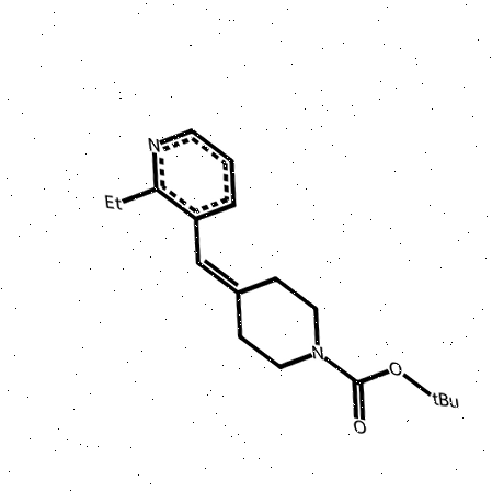 CCc1ncccc1C=C1CCN(C(=O)OC(C)(C)C)CC1